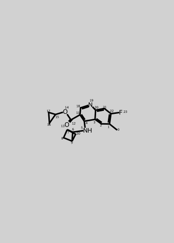 Cc1cc2c(NC3C4CC3C4)c(C(=O)OC3CC3)cnc2cc1F